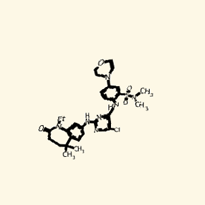 CCN1C(=O)CCC(C)(C)c2ccc(Nc3ncc(Cl)c(Nc4ccc(N5CCOCC5)cc4S(=O)(=O)N(C)C)n3)cc21